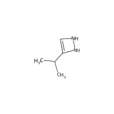 CC(C)c1c[nH][nH]1